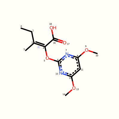 CC/C(C)=C(/Oc1nc(OC)cc(OC)n1)C(=O)O